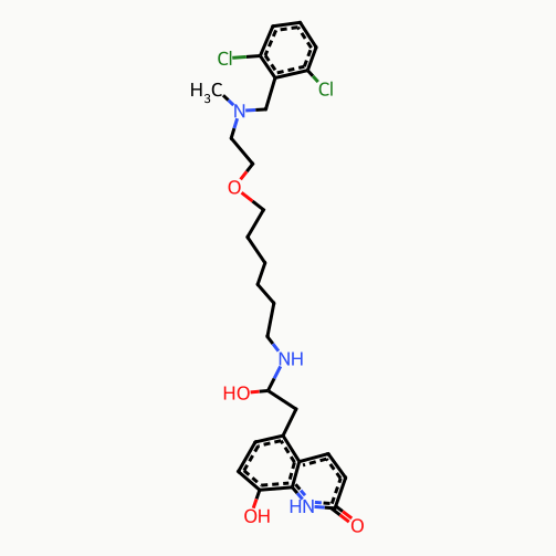 CN(CCOCCCCCCNC(O)Cc1ccc(O)c2[nH]c(=O)ccc12)Cc1c(Cl)cccc1Cl